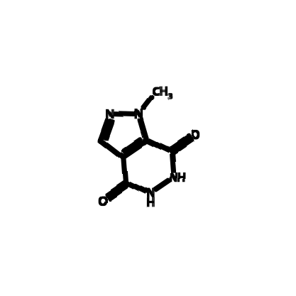 Cn1ncc2c(=O)[nH][nH]c(=O)c21